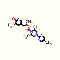 C[C@@H]1CN(c2ncc(C(F)(F)F)cn2)C[C@H](C)N1C(=O)O[C@@H](C)Cc1c[nH]c(=O)c(C(F)(F)F)c1